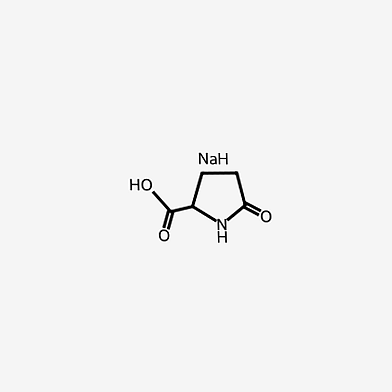 O=C1CCC(C(=O)O)N1.[NaH]